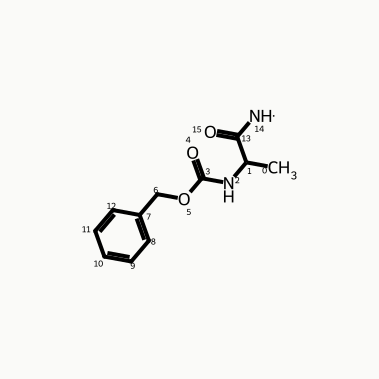 CC(NC(=O)OCc1ccccc1)C([NH])=O